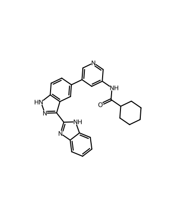 O=C(Nc1cncc(-c2ccc3[nH]nc(-c4nc5ccccc5[nH]4)c3c2)c1)C1CCCCC1